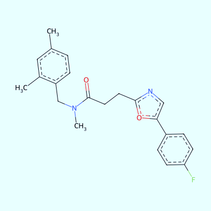 Cc1ccc(CN(C)C(=O)CCc2ncc(-c3ccc(F)cc3)o2)c(C)c1